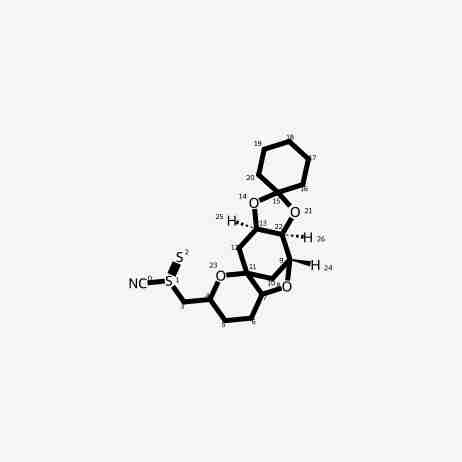 N#CS(=S)CC1CCC2O[C@@H]3CC2(C[C@H]2OC4(CCCCC4)O[C@@H]32)O1